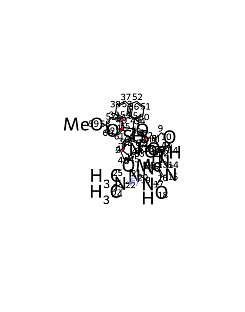 COc1ccc(C(OC[C@@]23CO[C@@H]([C@H](n4cnc5c(=O)[nH]c(/N=C/N(C)C)nc54)O2)[C@@H]3OP(SCCc2ccccc2C(=O)S)N2CCCC2)(c2ccccc2)c2ccc(OC)cc2)cc1